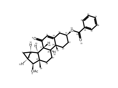 CC(=O)O[C@H]1[C@H]2C[C@H]2[C@H]2[C@@H]3C(=O)C=C4C[C@@H](OC(=O)c5ccccc5)CC[C@]4(C)[C@H]3CC[C@@]21C